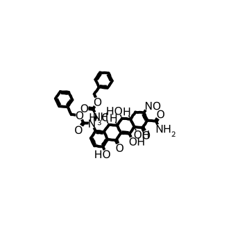 C[C@H]1c2c(N(NC(=O)OCc3ccccc3)C(=O)OCc3ccccc3)ccc(O)c2C(=O)C2=C(O)[C@]3(O)C(=O)C(C(N)=O)=C(N=O)C[C@@H]3[C@@H](O)[C@@H]21